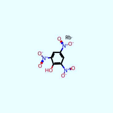 O=[N+]([O-])c1cc([N+](=O)[O-])c(O)c([N+](=O)[O-])c1.[Rb]